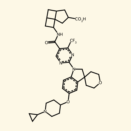 O=C(NC1CC2CC3CC(C(=O)O)CC321)c1cnc(N2CC3(CCOCC3)c3cc(OC4CCN(C5CC5)CC4)ccc32)nc1C(F)(F)F